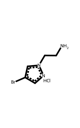 Cl.NCCn1cc(Br)cn1